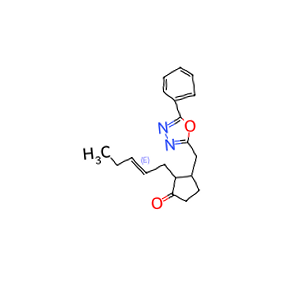 CC/C=C/CC1C(=O)CCC1Cc1nnc(-c2ccccc2)o1